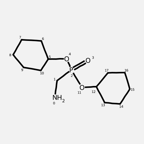 NCP(=O)(OC1CCCCC1)OC1CCCCC1